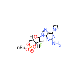 CCCCOP1(=O)OC[C@H]2O[C@@H](n3cnc4c(N5CCC5)nc(N)nc43)[C@](C)(F)[C@@H]2O1